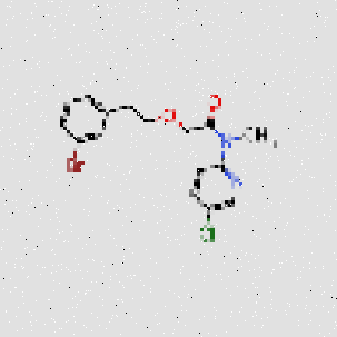 CN(C(=O)COCCc1cccc(Br)c1)c1ccc(Cl)cn1